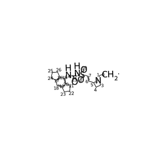 [CH2]CN1CCC1C=CS(=O)(=O)NC(=O)Nc1c2c(cc3c1CCC3)CCC2